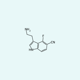 N#Cc1ccc2[nH]cc(CCN)c2c1F